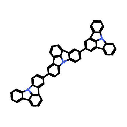 c1ccc2c(c1)c1cccc3c4cc(-c5ccc6c(c5)c5cccc7c8cc(-c9cc%10c%11ccccc%11n%11c%12ccccc%12c(c9)c%10%11)ccc8n6c57)ccc4n2c13